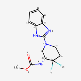 CC(C)(C)OC(=O)N[C@@H]1CN(c2nc3ccccc3[nH]2)CCC1(F)F